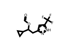 O=COC(Cc1cc(C(F)(F)F)[nH]n1)C1CC1